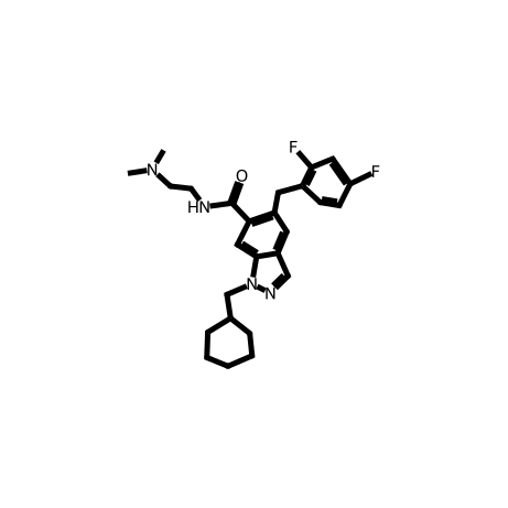 CN(C)CCNC(=O)c1cc2c(cnn2CC2CCCCC2)cc1Cc1ccc(F)cc1F